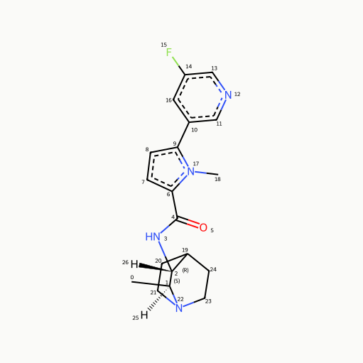 C[C@H]1[C@H](NC(=O)c2ccc(-c3cncc(F)c3)n2C)C2CCN1CC2